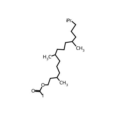 CC(C)CCCC(C)CCCC(C)CCCC(C)CCOC(=O)I